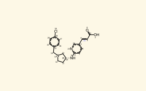 O=C(O)/C=C/c1ccc(N[C@@H]2CCN(Cc3ccc(Cl)cc3)C2)nc1